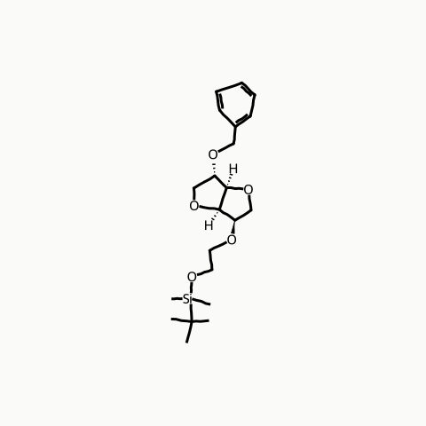 CC(C)(C)[Si](C)(C)OCCO[C@@H]1CO[C@H]2[C@@H]1OC[C@@H]2OCc1ccccc1